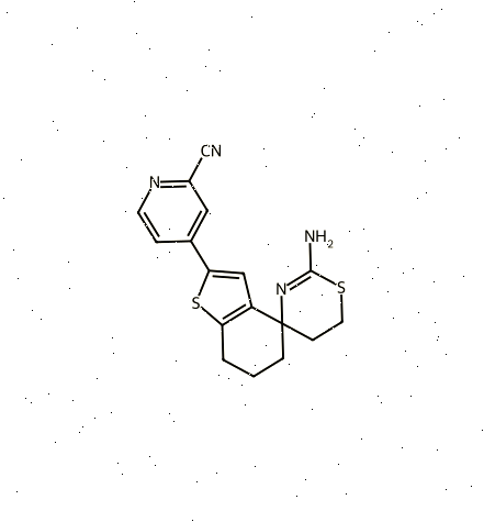 N#Cc1cc(-c2cc3c(s2)CCCC32CCSC(N)=N2)ccn1